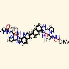 COCON[C@H](C(=O)N1CCC[C@H]1c1nc2ccc3cc(-c4cnc5c(ccc6nc([C@@H]7CCCN7C(=O)[C@@H](NC(=O)OC)C(C)C)[nH]c65)c4)ccc3c2[nH]1)C(C)C